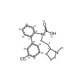 CN1CCCC1CCN(C(=O)O)c1ccccc1-c1cccc(Cl)c1